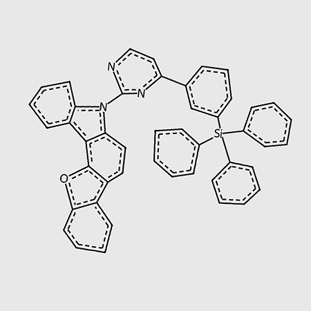 c1ccc([Si](c2ccccc2)(c2ccccc2)c2cccc(-c3ccnc(-n4c5ccccc5c5c6oc7ccccc7c6ccc54)n3)c2)cc1